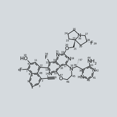 C#Cc1cccc2c(F)c(O)cc(-c3nc4c5c(nc(OC[C@@]67CCCN6C[C@H](F)C7)nc5c3F)N([C@H](C)c3nccnc3N)CCO4)c12